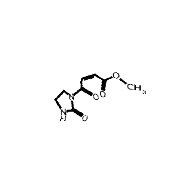 COC(=O)/C=C\C(=O)N1CCNC1=O